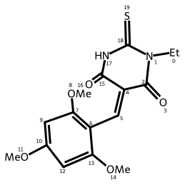 CCN1C(=O)C(=Cc2c(OC)cc(OC)cc2OC)C(=O)NC1=S